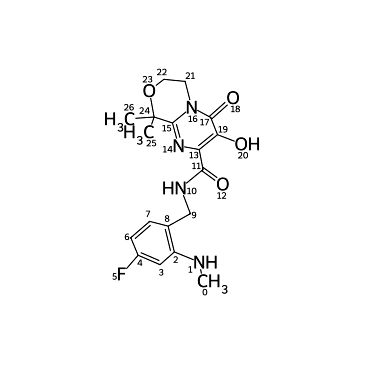 CNc1cc(F)ccc1CNC(=O)c1nc2n(c(=O)c1O)CCOC2(C)C